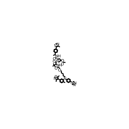 CC(=O)O[C@@H]1C[C@@H](C(=O)NC(C)c2ccc(-c3scnc3C)cc2)N(C(=O)C(NC(=O)COCCCCCN(c2ccc(-n3cnnc3)cc2)c2cc(-c3c(C)noc3C)ccc2C)C(C)(C)C)C1